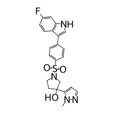 Cn1nccc1C1(O)CCN(S(=O)(=O)c2ccc(-c3c[nH]c4cc(F)ccc34)cc2)C1